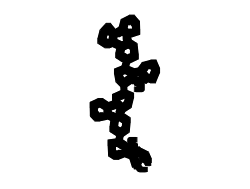 c1ccc2c(c1)sc1c(-c3ccc4c5ccc(-c6ccc(-c7ccc8c9ccccc9c9ccccc9c8c7)c7c6sc6ccccc67)cc5c5ccccc5c4c3)cccc12